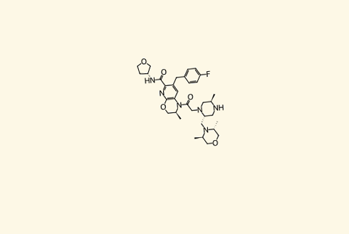 C[C@@H]1CN(CC(=O)N2c3cc(Cc4ccc(F)cc4)c(C(=O)N[C@@H]4CCOC4)nc3OC[C@@H]2C)[C@@H](CN2[C@H](C)COC[C@H]2C)CN1